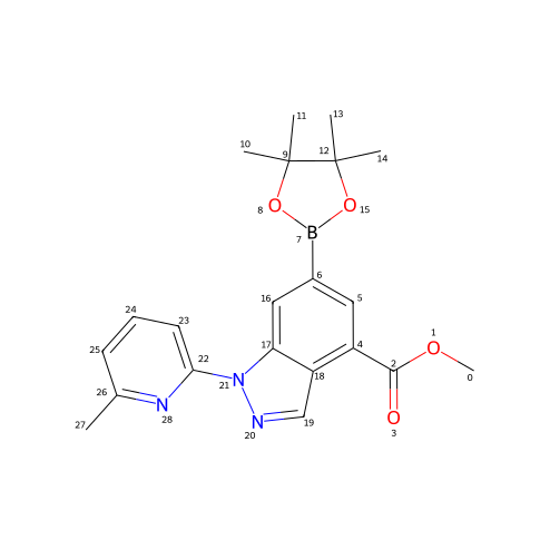 COC(=O)c1cc(B2OC(C)(C)C(C)(C)O2)cc2c1cnn2-c1cccc(C)n1